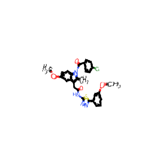 COc1cccc(-c2nnc(NC(=O)Cc3c(C)n(C(=O)c4ccc(Cl)cc4)c4ccc(OC)cc34)s2)c1